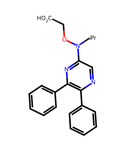 CC(C)N(OCC(=O)O)c1cnc(-c2ccccc2)c(-c2ccccc2)n1